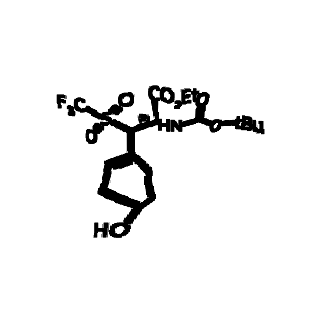 CCOC(=O)[C@@H](NC(=O)OC(C)(C)C)C(c1ccc(O)cc1)S(=O)(=O)C(F)(F)F